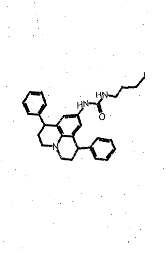 O=C(NCCCI)Nc1cc2c3c(c1)C(c1ccccc1)CCN3CCC2c1ccccc1